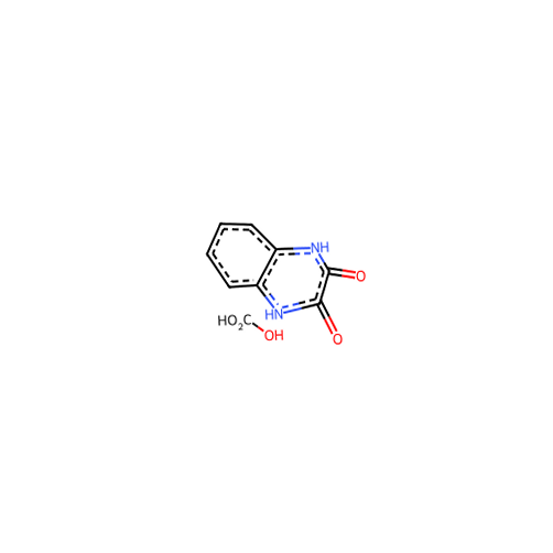 O=C(O)O.O=c1[nH]c2ccccc2[nH]c1=O